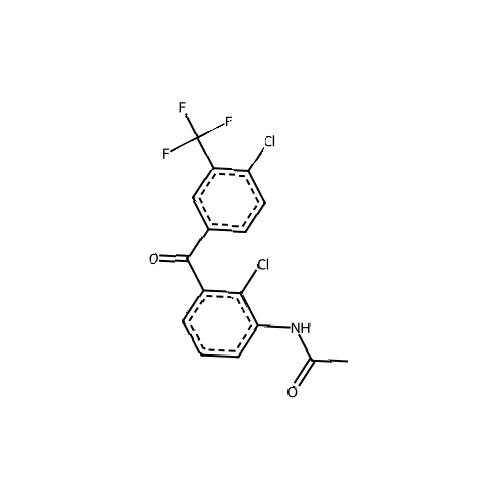 CC(=O)Nc1cccc(C(=O)c2ccc(Cl)c(C(F)(F)F)c2)c1Cl